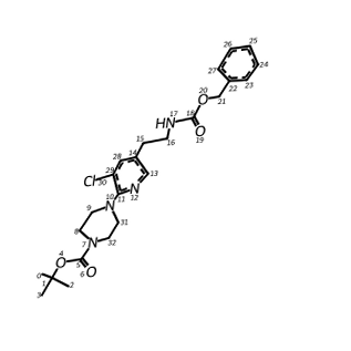 CC(C)(C)OC(=O)N1CCN(c2ncc(CCNC(=O)OCc3ccccc3)cc2Cl)CC1